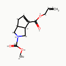 C=CCOC(=O)C1=CCC2CN(C(=O)OC(C)(C)C)CC12